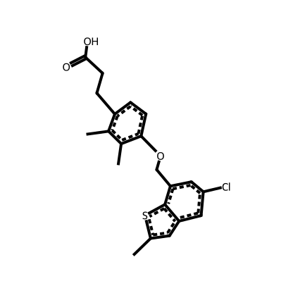 Cc1cc2cc(Cl)cc(COc3ccc(CCC(=O)O)c(C)c3C)c2s1